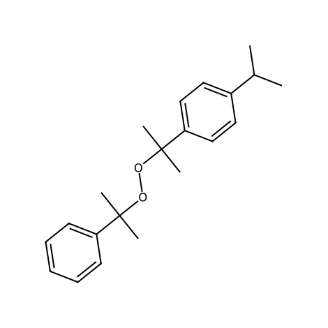 CC(C)c1ccc(C(C)(C)OOC(C)(C)c2ccccc2)cc1